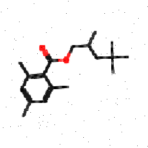 Cc1cc(C)c(C(=O)OCC(C)CC(C)(C)C)c(C)c1